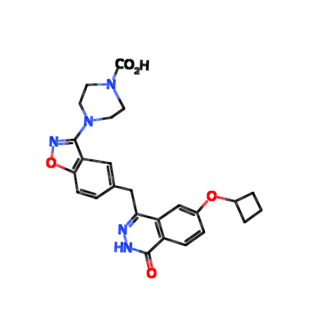 O=C(O)N1CCN(c2noc3ccc(Cc4n[nH]c(=O)c5ccc(OC6CCC6)cc45)cc23)CC1